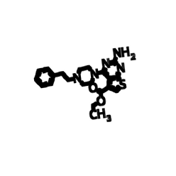 CCOC(=O)c1csc2nc(N)nc(N3CCN(CCc4ccccc4)CC3)c12